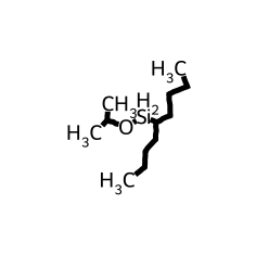 CCCCC(CCCC)[SiH2]OC(C)C